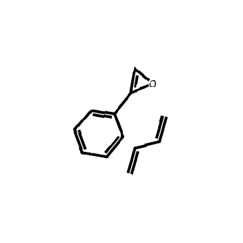 C1=C(c2ccccc2)O1.C=CC=C